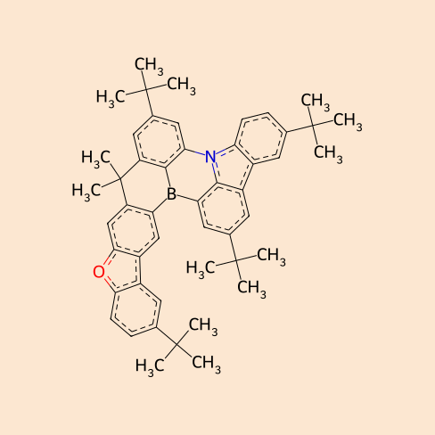 CC(C)(C)c1cc2c3c(c1)C(C)(C)c1cc4oc5ccc(C(C)(C)C)cc5c4cc1B3c1cc(C(C)(C)C)cc3c4cc(C(C)(C)C)ccc4n-2c13